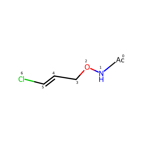 CC(=O)NOCC=CCl